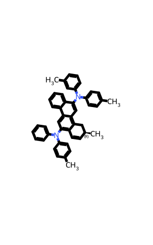 Cc1ccc(N(c2ccccc2)c2cc3c(cc(N(c4ccc(C)cc4)c4cccc(C)c4)c4ccccc43)c3c2C=C[C@H](C)C3)cc1